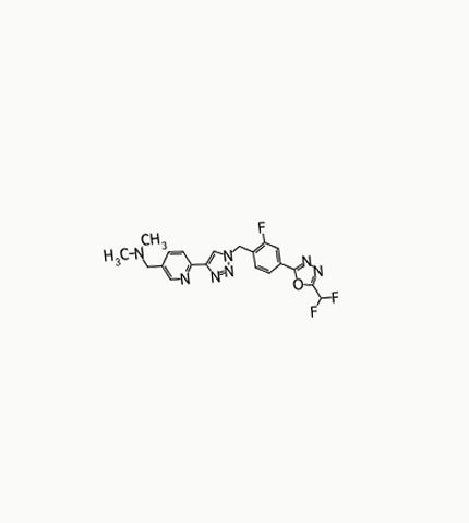 CN(C)Cc1ccc(-c2cn(Cc3ccc(-c4nnc(C(F)F)o4)cc3F)nn2)nc1